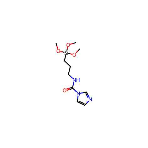 CO[Si](CCCNC(=O)n1ccnc1)(OC)OC